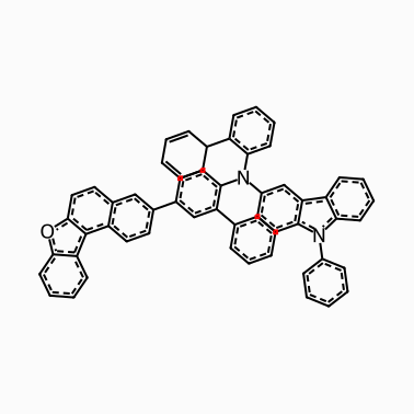 C1=CCC(c2ccccc2N(c2ccc3c(c2)c2ccccc2n3-c2ccccc2)c2ccc(-c3ccc4c(ccc5oc6ccccc6c54)c3)cc2-c2ccccc2)C=C1